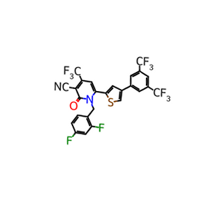 N#Cc1c(C(F)(F)F)cc(-c2cc(-c3cc(C(F)(F)F)cc(C(F)(F)F)c3)cs2)n(Cc2ccc(F)cc2F)c1=O